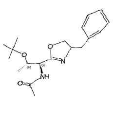 CC(=O)N[C@H](C1=NC(Cc2ccccc2)CO1)[C@H](C)OC(C)(C)C